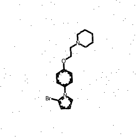 Brc1cccn1-c1ccc(OCCN2CCCCC2)cc1